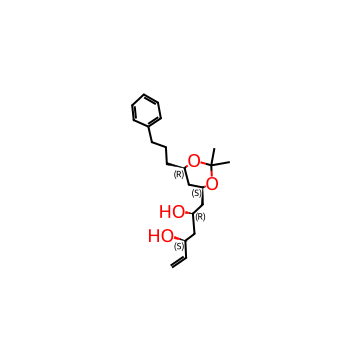 C=C[C@@H](O)C[C@@H](O)C[C@H]1C[C@@H](CCCc2ccccc2)OC(C)(C)O1